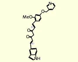 COc1cc(OCc2cccnc2)ccc1/C=C/C(=O)CC(=O)/C=C/c1ccc2[nH]ccc2c1